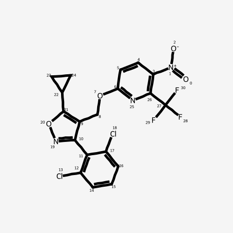 O=[N+]([O-])c1ccc(OCc2c(-c3c(Cl)cccc3Cl)noc2C2CC2)nc1C(F)(F)F